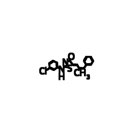 CC(=Cc1ccccc1)C=C1SC(Nc2cccc(Cl)c2)=NC1=O